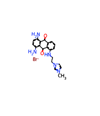 Cn1cc[n+](CCNc2cccc3c2C(=O)c2c(N)ccc(N)c2C3=O)c1.[Br-]